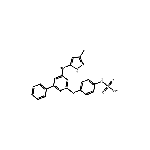 CCCS(=O)(=O)Nc1ccc(Sc2nc(Nc3cc(C)n[nH]3)cc(-c3ccccc3)n2)cc1